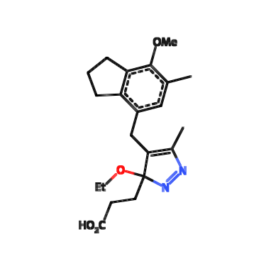 CCOC1(CCC(=O)O)N=NC(C)=C1Cc1cc(C)c(OC)c2c1CCC2